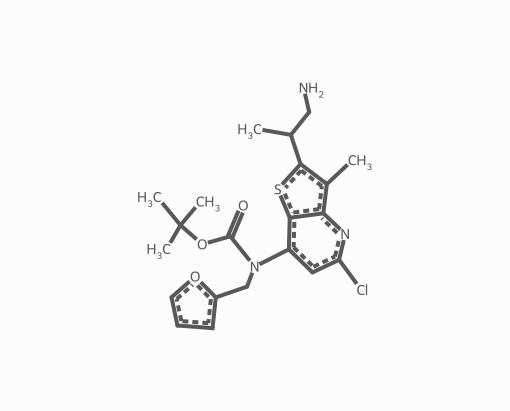 Cc1c(C(C)CN)sc2c(N(Cc3ccco3)C(=O)OC(C)(C)C)cc(Cl)nc12